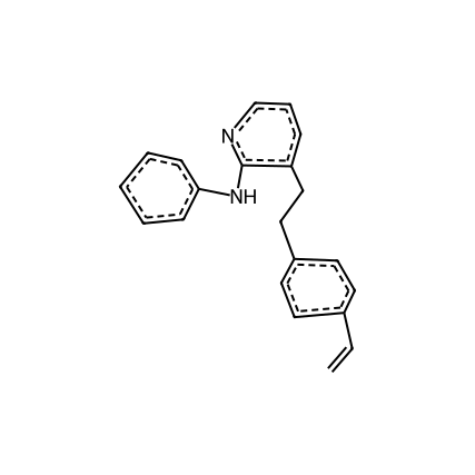 C=Cc1ccc(CCc2cccnc2Nc2ccccc2)cc1